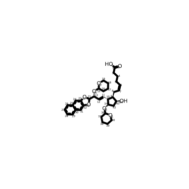 O=C(O)CCC/C=C\C[C@@H]1[C@@H](/C=C/[C@@H](OC2CCCCO2)C2Oc3cc4ccccc4cc3O2)[C@H](OC2CCCCO2)C[C@@H]1O